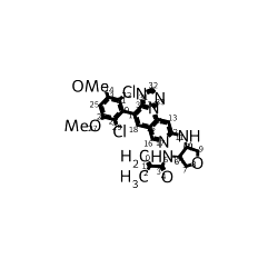 C=C(C)C(=O)N[C@@H]1COC[C@@H]1Nc1cc2c(cn1)cc(-c1c(Cl)c(OC)cc(OC)c1Cl)c1ncnn12